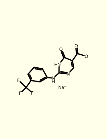 O=C([O-])c1cnc(Nc2cccc(C(F)(F)F)c2)[nH]c1=O.[Na+]